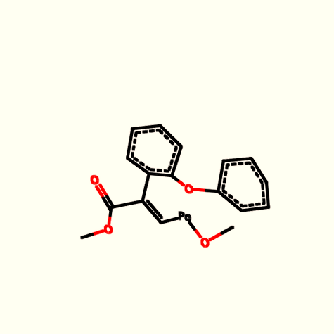 C[O][Po]/[CH]=C(/C(=O)OC)c1ccccc1Oc1ccccc1